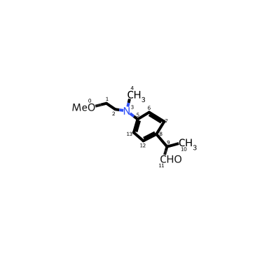 COCCN(C)c1ccc(C(C)C=O)cc1